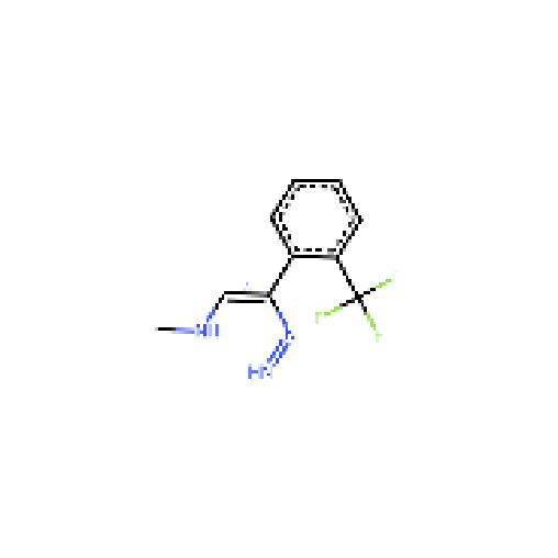 CN/C=C(\N=N)c1ccccc1C(F)(F)F